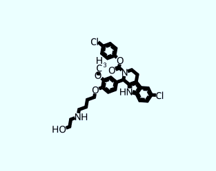 COc1cc(C2c3[nH]c4ccc(Cl)cc4c3CCN2C(=O)Oc2ccc(Cl)cc2)ccc1OCCCCNCCO